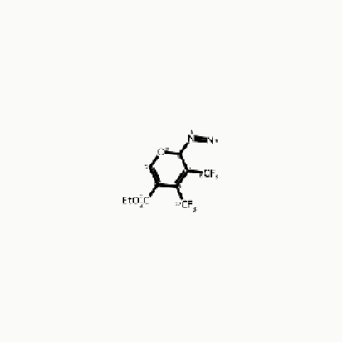 CCOC(=O)C1=COC(N=[N])C(C(F)(F)F)=C1C(F)(F)F